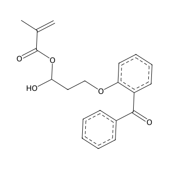 C=C(C)C(=O)OC(O)CCOc1ccccc1C(=O)c1ccccc1